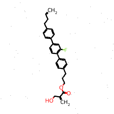 C=CCCc1ccc(-c2ccc(-c3ccc(CCCOC(=O)C(=C)CO)cc3)c(F)c2)cc1